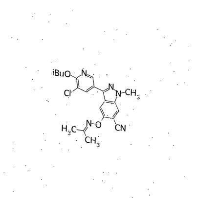 CC(C)=NOc1cc2c(-c3cnc(OCC(C)C)c(Cl)c3)nn(C)c2cc1C#N